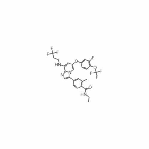 CCNC(=O)c1ccc(-c2cnc3c(NCCC(F)(F)F)cc(Oc4ccc(OC(F)(F)F)c(F)c4)cn23)cc1C